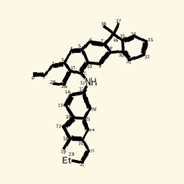 C=C/C=c1/cc2cc3c(cc2c(Nc2ccc4cc(C)c(/C=C\CC)cc4c2)/c1=C/C)-c1ccccc1C3(C)C